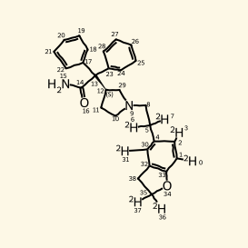 [2H]c1c([2H])c(C([2H])([2H])CN2CC[C@@H](C(C(N)=O)(c3ccccc3)c3ccccc3)C2)c([2H])c2c1OC([2H])([2H])C2